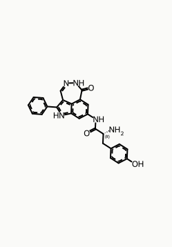 N[C@H](Cc1ccc(O)cc1)C(=O)Nc1cc2c3c(c(-c4ccccc4)[nH]c3c1)C=NNC2=O